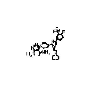 C=C(N)c1c(N)ncnc1N1CCC(c2nc(-c3ccc(F)c(C(F)(F)F)c3)cn2CCN2CCCCC2)CC1